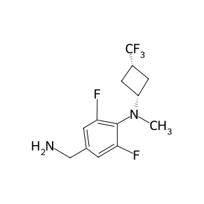 CN(c1c(F)cc(CN)cc1F)[C@H]1C[C@@H](C(F)(F)F)C1